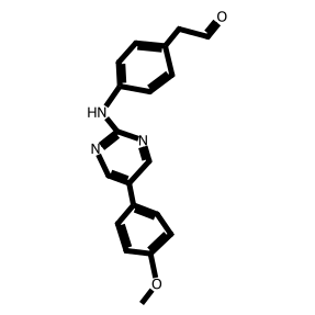 COc1ccc(-c2cnc(Nc3ccc(CC=O)cc3)nc2)cc1